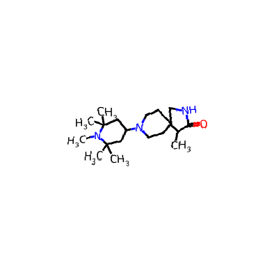 CC1C(=O)NCC12CCN(C1CC(C)(C)N(C)C(C)(C)C1)CC2